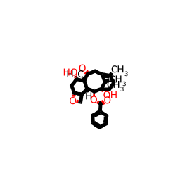 CC1=C2CC(=O)[C@@]3(C)C(O)CC4OCC4[C@H]3[C@H](OC(=O)c3ccccc3)C(O)(CC1)C2(C)C